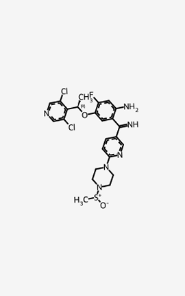 C[C@@H](Oc1cc(C(=N)c2ccc(N3CCN([S+](C)[O-])CC3)nc2)c(N)cc1F)c1c(Cl)cncc1Cl